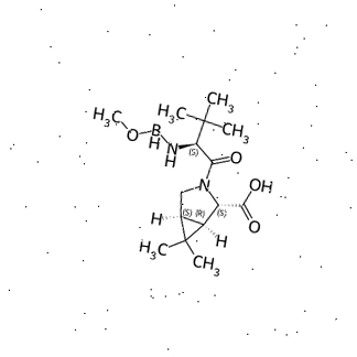 COBN[C@H](C(=O)N1C[C@H]2[C@@H]([C@H]1C(=O)O)C2(C)C)C(C)(C)C